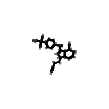 CS(=O)(=O)c1ccc(Nc2nn(CCC#N)c3cc[nH]c(=O)c23)cc1